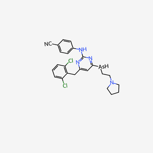 N#Cc1ccc(Nc2nc(Cc3c(Cl)cccc3Cl)cc([AsH]CCN3CCCC3)n2)cc1